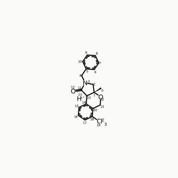 C[C@]12CN(Cc3ccccc3)C(=O)[C@@H]1c1cccc(C(F)(F)F)c1CO2